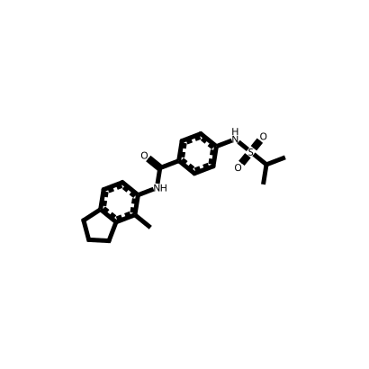 Cc1c(NC(=O)c2ccc(NS(=O)(=O)C(C)C)cc2)ccc2c1CCC2